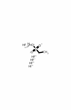 CCS(=O)(=O)O.F.F.F.F.F.I